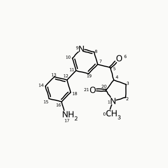 CN1CCC(C(=O)c2cncc(-c3cccc(N)c3)c2)C1=O